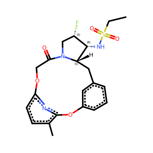 CCS(=O)(=O)N[C@H]1[C@@H](F)CN2C(=O)COc3ccc(C)c(n3)Oc3cccc(c3)C[C@@H]12